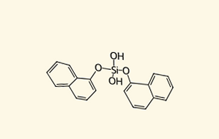 O[Si](O)(Oc1cccc2ccccc12)Oc1cccc2ccccc12